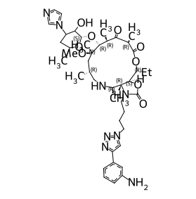 CC[C@H]1OC(=O)[C@H](C)C(=O)[C@H](C)[C@@H](O[C@@H]2OC(C)CC(n3ccnc3)C2O)[C@](C)(OC)C[C@@H](C)CN[C@H](C)[C@@H]2[C@@H]1OC(=O)N2CCCCn1cc(-c2cccc(N)c2)nn1